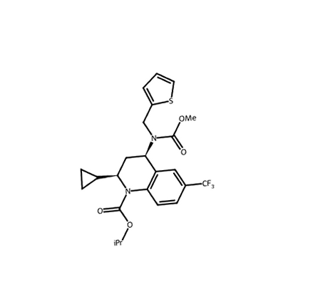 COC(=O)N(Cc1cccs1)[C@@H]1C[C@H](C2CC2)N(C(=O)OC(C)C)c2ccc(C(F)(F)F)cc21